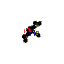 OCC(CSc1nc2ccccc2s1)(Cn1c2ccccc2c2cc(-c3cccc4c3sc3ccccc34)ccc21)Cn1c2ccccc2c2cc(-c3cccc4c3sc3ccccc34)ccc21